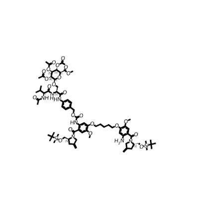 C=C1C[C@@H](CO[Si](C)(C)C(C)(C)C)N(C(=O)c2cc(OC)c(OCCCCCOc3cc(NC(=O)OCc4ccc(NC(=O)[C@H](CO[C@@H]5O[C@H](C(=O)OC)[C@@H](OC(C)=O)[C@H](OC(C)=O)[C@H]5OC(C)=O)NC(=O)[C@@H](NC(C)=O)C(C)C)cc4)c(C(=O)N4CC(=C)C[C@H]4CO[Si](C)(C)C(C)(C)C)cc3OC)cc2N)C1